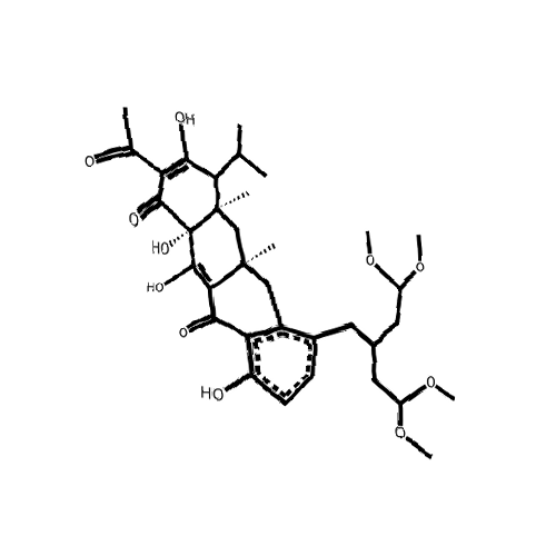 COC(CC(Cc1ccc(O)c2c1C[C@]1(C)C[C@]3(C)C(C(C)C)C(O)=C(C(C)=O)C(=O)[C@]3(O)C(O)=C1C2=O)CC(OC)OC)OC